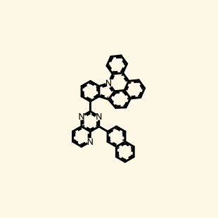 c1ccc2cc(-c3nc(-c4cccc5c4c4ccc6cccc7c8ccccc8n5c4c67)nc4cccnc34)ccc2c1